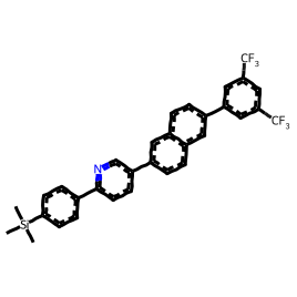 C[Si](C)(C)c1ccc(-c2ccc(-c3ccc4cc(-c5cc(C(F)(F)F)cc(C(F)(F)F)c5)ccc4c3)cn2)cc1